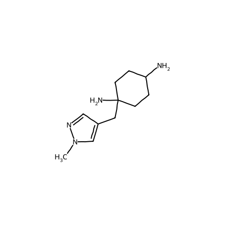 Cn1cc(CC2(N)CCC(N)CC2)cn1